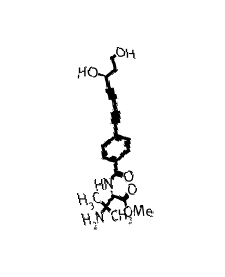 COC(=O)[C@@H](NC(=O)c1ccc(C#CC#C[C@@H](O)CCO)cc1)C(C)(C)N